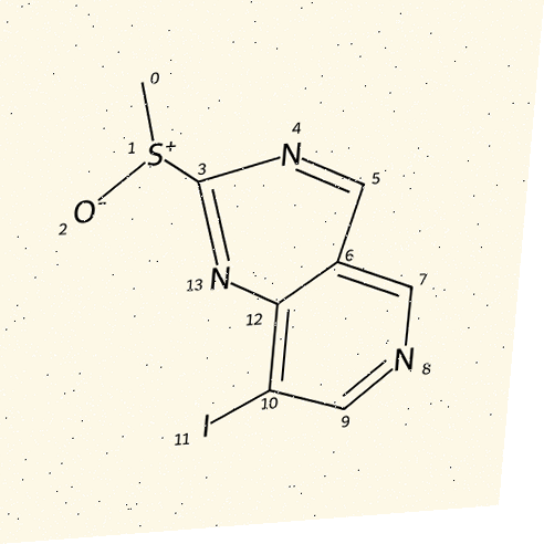 C[S+]([O-])c1ncc2cncc(I)c2n1